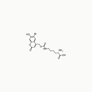 N[C@@H](CCCCNC(=O)OCc1cc(=O)oc2cc(O)c(Br)cc12)C(=O)O